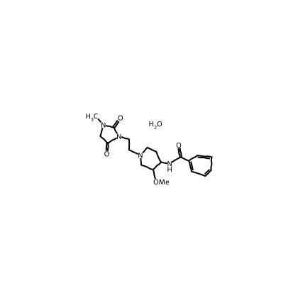 COC1CN(CCN2C(=O)CN(C)C2=O)CCC1NC(=O)c1ccccc1.O